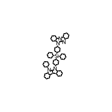 c1ccc(-n2c3ccccc3c3c4ccccc4n(-c4ccc([Si](c5ccccc5)(c5ccccc5)c5ccc(-n6c7ccccc7n7c8ccccc8nc67)cc5)cc4)c32)cc1